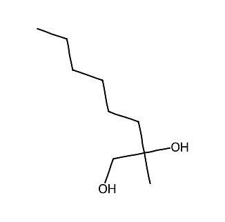 CCCCCCC(C)(O)CO